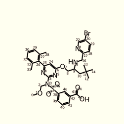 COCN(c1nc(OCC(CC(C)(C)C)NCc2ccc(Br)cn2)cc(-c2c(C)cccc2C)n1)S(=O)(=O)c1cccc(C(=O)O)c1